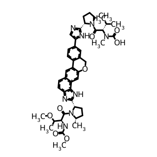 COC(=O)N[C@H](C(=O)N1[C@@H](C)CC[C@H]1c1nc2ccc3cc4c(cc3c2[nH]1)OCc1cc(-c2cnc([C@@H]3CC[C@H](C)N3C(=O)[C@H](C(C)C)N(C)C(=O)O)[nH]2)ccc1-4)C(C)OC